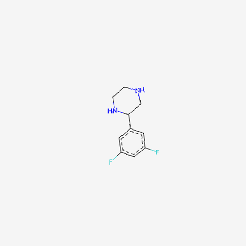 Fc1cc(F)cc(C2CNCCN2)c1